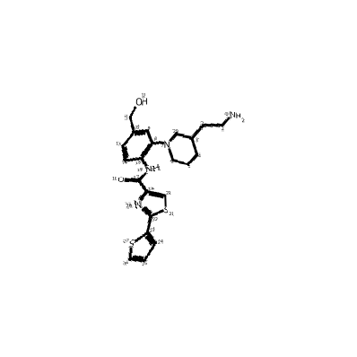 NCCC1CCCN(c2cc(CO)ccc2NC(=O)c2csc(-c3cccs3)n2)C1